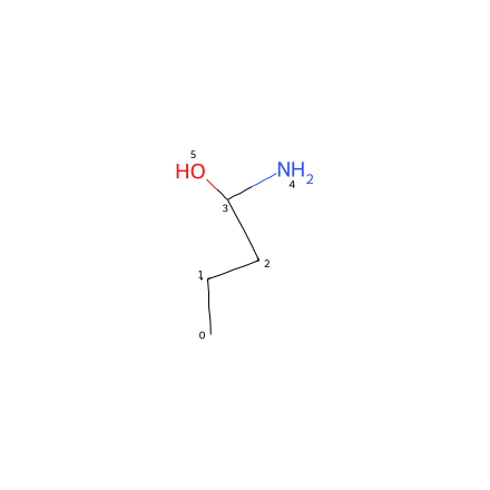 C[CH]CC(N)O